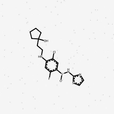 [O-][S+](Nc1nccs1)c1cc(Cl)c(NCCC2(O)CCCC2)cc1F